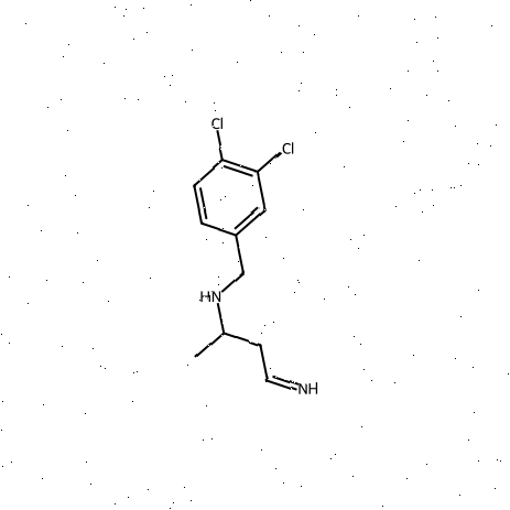 CC(CC=N)NCc1ccc(Cl)c(Cl)c1